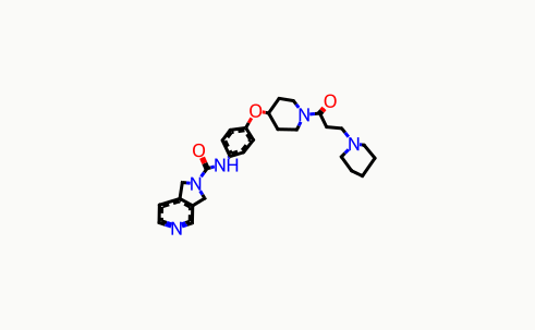 O=C(CCN1CCCCC1)N1CCC(Oc2ccc(NC(=O)N3Cc4ccncc4C3)cc2)CC1